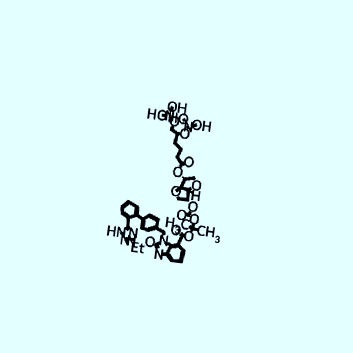 CCOc1nc2cccc(C(=O)OC(C)(C)OC(=O)O[C@@H]3COC4[C@H](OC(=O)CCCC(CON(O)O)ON(O)O)CO[C@@H]43)c2n1Cc1ccc(-c2ccccc2-c2nnn[nH]2)cc1